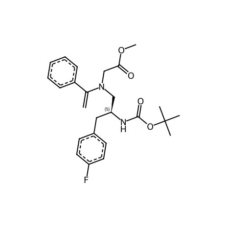 C=C(c1ccccc1)N(CC(=O)OC)C[C@H](Cc1ccc(F)cc1)NC(=O)OC(C)(C)C